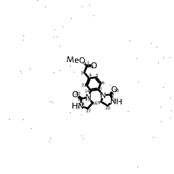 COC(=O)Cc1ccc(N2CCNC2=O)c(N2CCNC2=O)c1